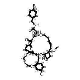 CO[C@H]1/C=C/CCCS(=O)(NC(=O)NCc2ccc(F)cc2)=NC(=O)c2ccc3c(c2)N(Cc2ccc(Cl)cc2CCCCO3)C[C@@H]2CC[C@H]21